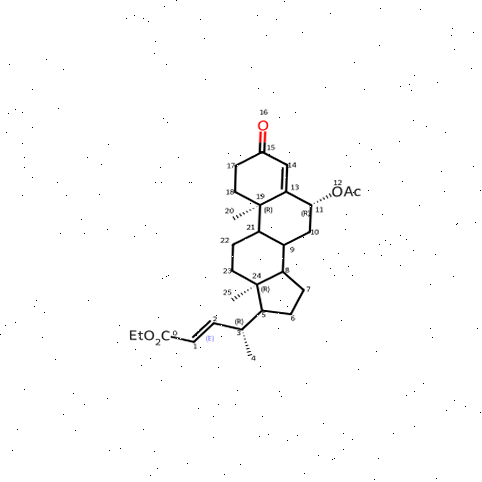 CCOC(=O)/C=C/[C@@H](C)C1CCC2C3C[C@@H](OC(C)=O)C4=CC(=O)CC[C@]4(C)C3CC[C@@]21C